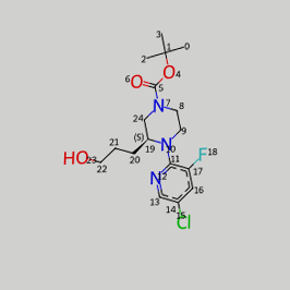 CC(C)(C)OC(=O)N1CCN(c2ncc(Cl)cc2F)[C@@H](CCCO)C1